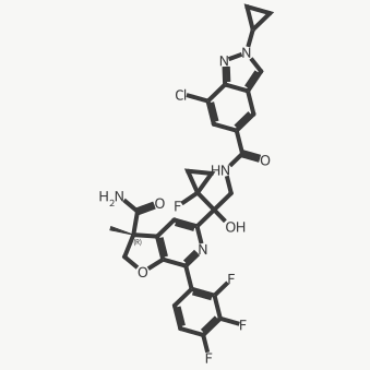 C[C@]1(C(N)=O)COc2c1cc(C(O)(CNC(=O)c1cc(Cl)c3nn(C4CC4)cc3c1)C1(F)CC1)nc2-c1ccc(F)c(F)c1F